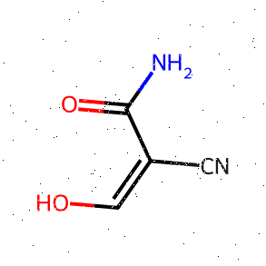 N#C/C(=C/O)C(N)=O